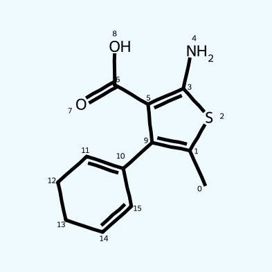 Cc1sc(N)c(C(=O)O)c1C1=CCCC=C1